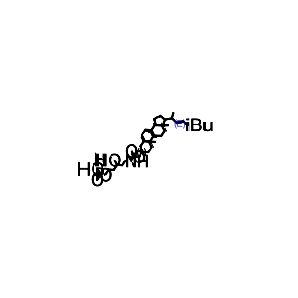 CCC(C)/C=C/C(C)C1CCC2C3=CC=C4C[C@H](OC(=O)NCCC(O)CCO[PH](=O)O)CCC4(C)C3CCC21C